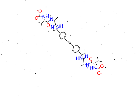 COC(=O)N[C@H](C(=O)N(C)[C@@H](C)c1ncc(-c2ccc(C#Cc3ccc(-c4cnc([C@H](C)N(C)C(=O)[C@@H](NC(=O)OC)C(C)C)[nH]4)cc3)cc2)[nH]1)C(C)C